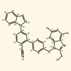 CCc1nc2c(C)cc(C)nc2n1Cc1ccc(-c2cc(-n3ncc4ccccc43)ccc2C#N)cc1